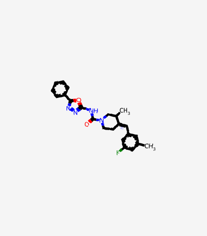 Cc1cc(F)cc(/C=C2\CCN(C(=O)Nc3nnc(-c4ccccc4)o3)CC2C)c1